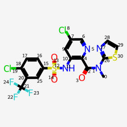 CN(C(=O)c1ncc(Cl)cc1NS(=O)(=O)c1ccc(Cl)c(C(F)(F)F)c1)c1nccs1